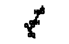 CCOC(=O)CCN(CCOC)CCOC(=O)NCCCCCCNC(=O)CC(C)C